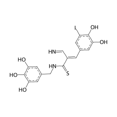 N=C/C(=C\c1cc(O)c(O)c(I)c1)C(=S)NCc1cc(O)c(O)c(O)c1